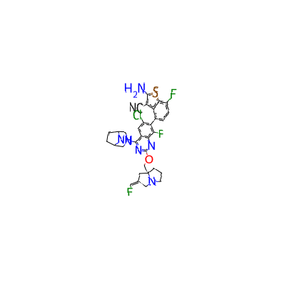 N#Cc1c(N)sc2c(F)ccc(-c3c(Cl)cc4c(N5CC6CCC(C5)N6)nc(OCC56CCCN5C/C(=C\F)C6)nc4c3F)c12